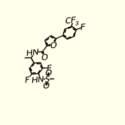 CC(NC(=O)c1ccc(-c2ccc(F)c(C(F)(F)F)c2)o1)c1cc(F)c(NS(C)(=O)=O)c(F)c1